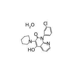 O.O=c1c(N2CCCCC2)c(O)c2cccnc2n1-c1cccc(Cl)c1